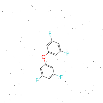 Fc1cc(F)cc(Oc2cc(F)cc(F)c2)c1